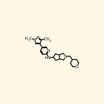 Cc1nn(C)cc1-c1ccc(NC2CC3CN(CC4CCOCC4)CC3C2)nc1